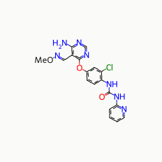 CON=Cc1c(N)ncnc1Oc1ccc(NC(=O)Nc2ccccn2)c(Cl)c1